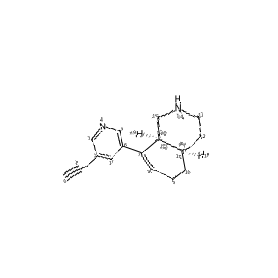 C#Cc1cncc(C2=CCC[C@@H]3CCNC[C@H]23)c1